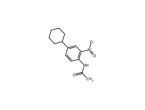 CC(=O)Nc1ccc(C2CCCCC2)cc1[N+](=O)[O-]